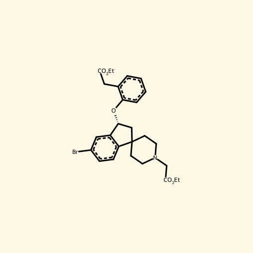 CCOC(=O)Cc1ccccc1O[C@@H]1CC2(CCN(CC(=O)OCC)CC2)c2ccc(Br)cc21